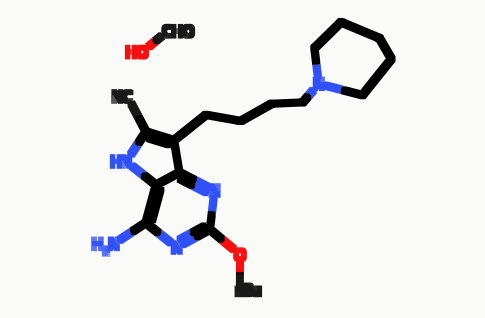 CCCCOc1nc(N)c2[nH]c(C#N)c(CCCCN3CCCCC3)c2n1.O=CO